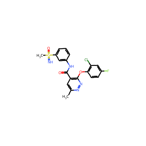 Cc1cc(C(=O)Nc2cccc(S(C)(=N)=O)c2)c(Oc2ccc(F)cc2Cl)nn1